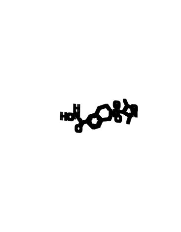 CC1=NOC(C)C1S(=O)(=O)N1CCc2cc(C(=O)NO)ccc2C1